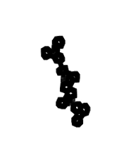 c1ccc(-n2c3ccccc3c3cc(-c4ccc5c(c4)c4cccc6c7c8ccc9c(c8ccc7n5c46)c4ccccc4n9-c4cc5c6c(cccc6c4)-c4ccccc4-5)ccc32)cc1